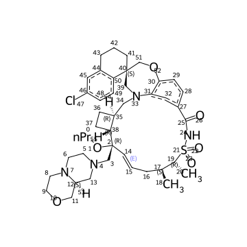 CCCO[C@@]1(CN2CCN3CCOC[C@@H]3C2)/C=C/C[C@H](C)[C@@H](C)S(=O)(=O)NC(=O)c2ccc3c(c2)N(C[C@@H]2CC[C@H]21)C[C@@]1(CCCc2cc(Cl)ccc21)CO3